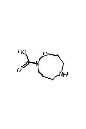 O=C(O)N1CCNCCO1